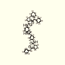 O=C(Nc1ccc(-c2cc3cc(NC(=O)[C@@H]4CCCN4C(=O)[C@@H](c4ccccc4)N4CCCCC4)ccc3[nH]2)cc1)[C@@H]1CCCN1C(=O)Cc1ccccc1